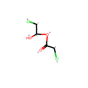 O=C(CCl)OC(O)CCl